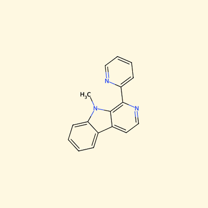 Cn1c2ccccc2c2ccnc(-c3ccccn3)c21